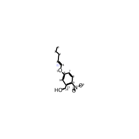 CCC/C=C/Oc1ccc([N+](=O)[O-])c(CO)c1